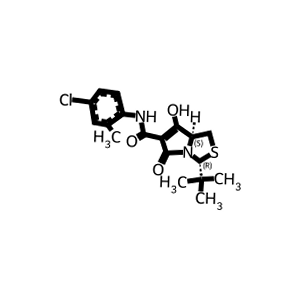 Cc1cc(Cl)ccc1NC(=O)C1=C(O)[C@H]2CS[C@H](C(C)(C)C)N2C1=O